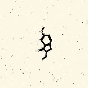 CCC1Cc2ccc(OC)cc2C1=O